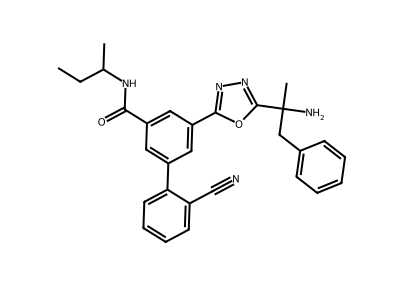 CCC(C)NC(=O)c1cc(-c2nnc(C(C)(N)Cc3ccccc3)o2)cc(-c2ccccc2C#N)c1